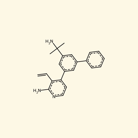 C=Cc1c(-c2cc(-c3ccccc3)cc(C(C)(C)N)c2)ccnc1N